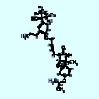 CCCc1cc(C(O)(C(F)(F)F)C(F)(F)F)ccc1OCC#CCN1C(=O)NC(C)(C2=CCC(OC(C)C)C=C2)C1=O